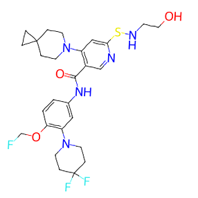 O=C(Nc1ccc(OCF)c(N2CCC(F)(F)CC2)c1)c1cnc(SNCCO)cc1N1CCC2(CC1)CC2